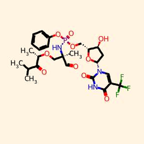 CC(C)C(=O)[C@H](C)OC[C@](C)(C=O)N[P@](=O)(OC[C@H]1O[C@@H](n2cc(C(F)(F)F)c(=O)[nH]c2=O)C[C@@H]1O)Oc1ccccc1